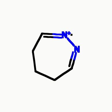 C1=N[N+]=CCCC1